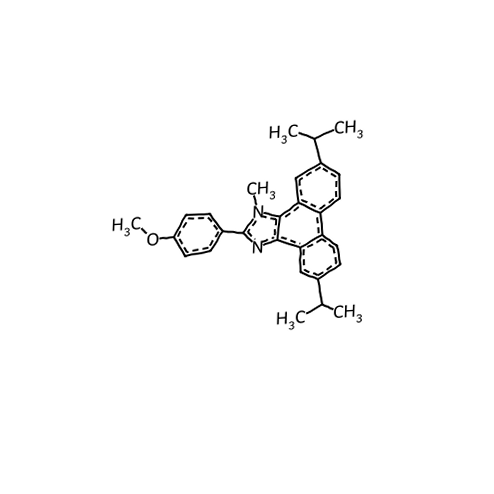 COc1ccc(-c2nc3c4cc(C(C)C)ccc4c4ccc(C(C)C)cc4c3n2C)cc1